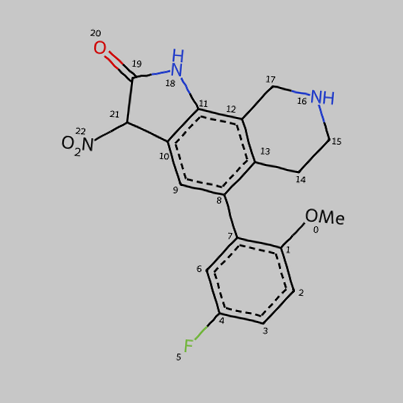 COc1ccc(F)cc1-c1cc2c(c3c1CCNC3)NC(=O)C2[N+](=O)[O-]